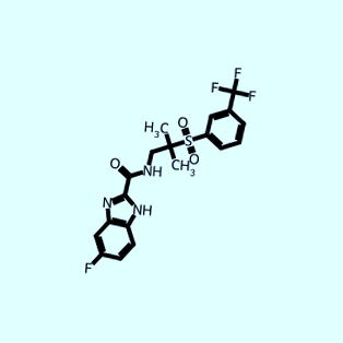 CC(C)(CNC(=O)c1nc2cc(F)ccc2[nH]1)S(=O)(=O)c1cccc(C(F)(F)F)c1